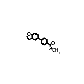 COC(=O)c1ccc(-c2ccc3c(c2)CCO3)cc1